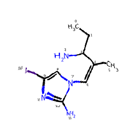 CCC(N)/C(C)=C\n1cc(I)nc1N